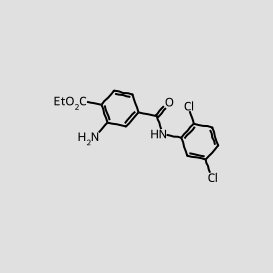 CCOC(=O)c1ccc(C(=O)Nc2cc(Cl)ccc2Cl)cc1N